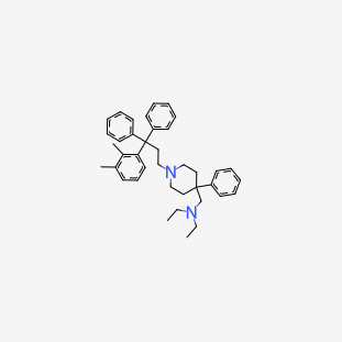 CCN(CC)CC1(c2ccccc2)CCN(CCC(c2ccccc2)(c2ccccc2)c2cccc(C)c2C)CC1